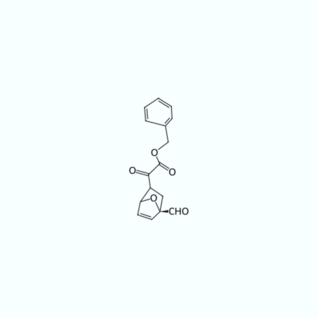 O=C[C@@]12C=CC(O1)C(C(=O)C(=O)OCc1ccccc1)C2